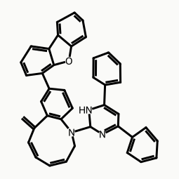 C=C1/C=C\C=C/CN(C2N=C(c3ccccc3)C=C(c3ccccc3)N2)c2ccc(-c3cccc4c3oc3ccccc34)cc21